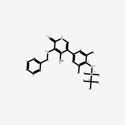 Cc1cc(-c2coc(=O)c(SCc3ccccc3)c2O)cc(C)c1O[Si](C)(C)C(C)(C)C